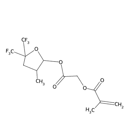 C=C(C)C(=O)OCC(=O)OC1OC(C(F)(F)F)(C(F)(F)F)CC1C